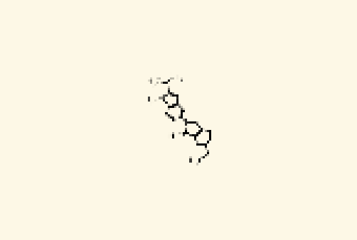 C=C1c2cc(CC)ccc2CN1c1ccc2c(c1)cc(C(C)C)n2C